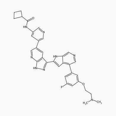 CN(C)CCOc1cc(F)cc(-c2cncc3[nH]c(-c4n[nH]c5ncc(-c6cncc(NC(=O)C7CCC7)c6)cc45)cc23)c1